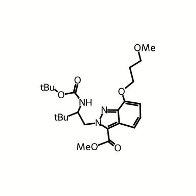 COCCCOc1cccc2c(C(=O)OC)n(CC(NC(=O)OC(C)(C)C)C(C)(C)C)nc12